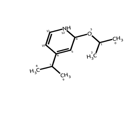 CC(C)OC1C=C(C(C)C)C=CN1